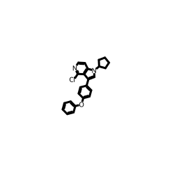 Clc1nccc2c1c(-c1ccc(Oc3ccccc3)cc1)cn2C1CCCC1